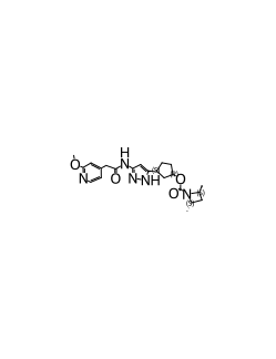 COc1cc(CC(=O)Nc2cc([C@H]3CC[C@@H](OC(=O)N4[C@@H](C)C[C@@H]4C)C3)[nH]n2)ccn1